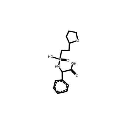 O=C(O)C(NP(=O)(O)CCC1CCCO1)c1ccccc1